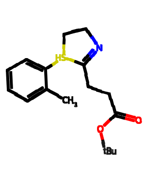 Cc1ccccc1[SH]1CCN=C1CCC(=O)OC(C)(C)C